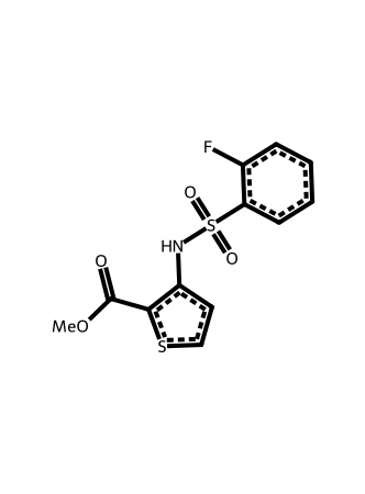 COC(=O)c1sccc1NS(=O)(=O)c1ccccc1F